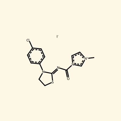 C[n+]1ccn(C(=O)/N=C2\SCCN2c2ccc(Cl)cc2)c1.[I-]